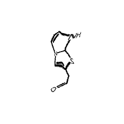 O=CC1=CN2C=CNC2S1